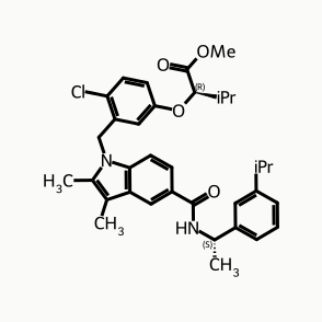 COC(=O)[C@H](Oc1ccc(Cl)c(Cn2c(C)c(C)c3cc(C(=O)N[C@@H](C)c4cccc(C(C)C)c4)ccc32)c1)C(C)C